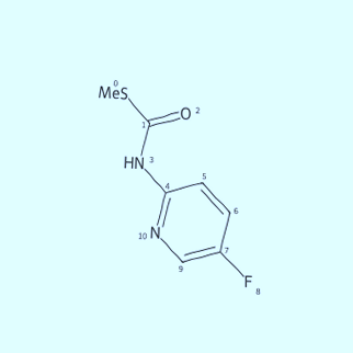 CSC(=O)Nc1ccc(F)cn1